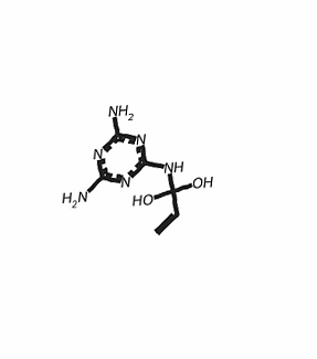 C=CC(O)(O)Nc1nc(N)nc(N)n1